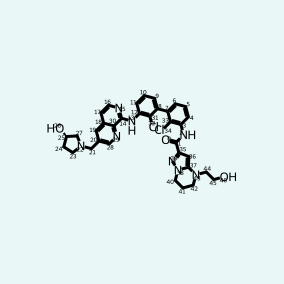 O=C(Nc1cccc(-c2cccc(Nc3nccc4cc(CN5CC[C@@H](O)C5)cnc34)c2Cl)c1Cl)c1cc2n(n1)CCCN2CCO